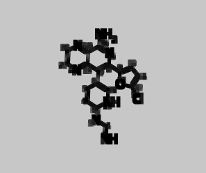 N=C/N=c1/ccc(-c2c(-c3ccc(Cl)o3)nc(N)c3nccnc23)c[nH]1